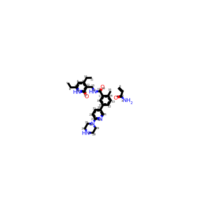 C=CC(N)=O.CCc1cc(CC)c(CNC(=O)c2cc(-c3ccc(N4CCNCC4)nc3)ccc2C)c(=O)[nH]1